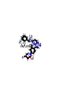 C=C1CC(=O)N(c2ccc(-c3cnc4ccc(N(C)Cc5cccc(F)c5)nn34)c(OC)c2)C1